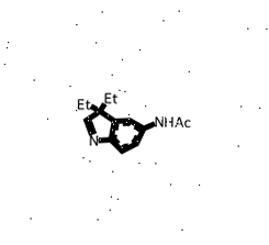 CCC1(CC)C=Nc2ccc(NC(C)=O)cc21